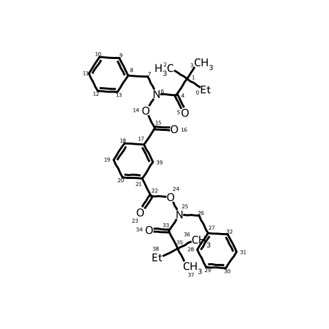 CCC(C)(C)C(=O)N(Cc1ccccc1)OC(=O)c1cccc(C(=O)ON(Cc2ccccc2)C(=O)C(C)(C)CC)c1